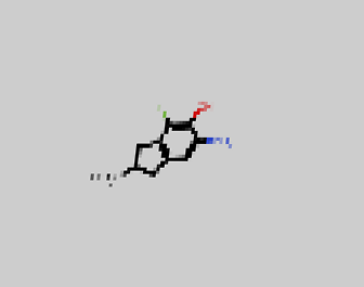 CCOC(=O)C1Cc2cc(N)c(O)c(F)c2C1